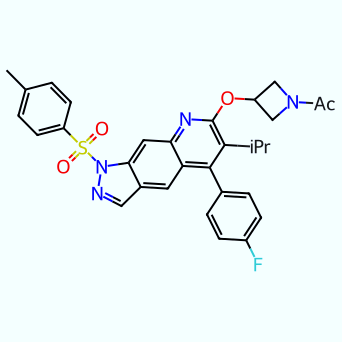 CC(=O)N1CC(Oc2nc3cc4c(cnn4S(=O)(=O)c4ccc(C)cc4)cc3c(-c3ccc(F)cc3)c2C(C)C)C1